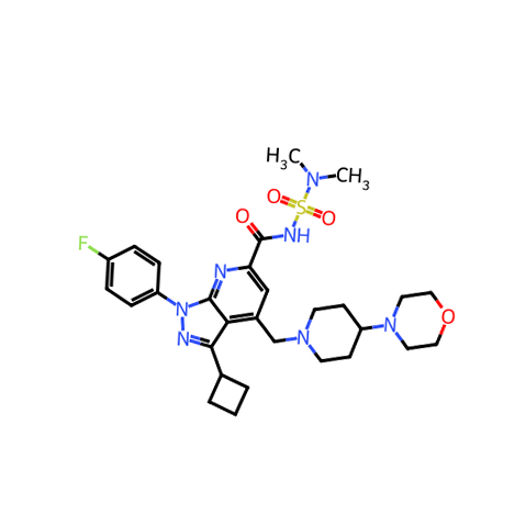 CN(C)S(=O)(=O)NC(=O)c1cc(CN2CCC(N3CCOCC3)CC2)c2c(C3CCC3)nn(-c3ccc(F)cc3)c2n1